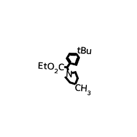 CCOC(=O)C(c1ccc(C(C)(C)C)cc1)N1CCC(C)CC1